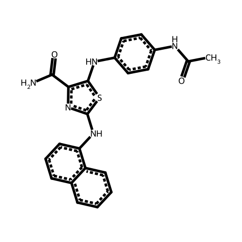 CC(=O)Nc1ccc(Nc2sc(Nc3cccc4ccccc34)nc2C(N)=O)cc1